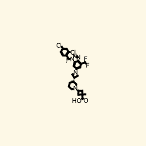 C[C@H](c1ccc(Cl)cc1Cl)n1nnc2c(C(F)F)cc(N3CC([C@H]4CCCN(C5CC(C)(C(=O)O)C5)C4)C3)cc21